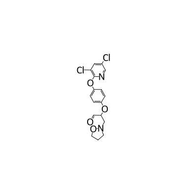 O=CC(CN1CCCO1)Oc1ccc(Oc2ncc(Cl)cc2Cl)cc1